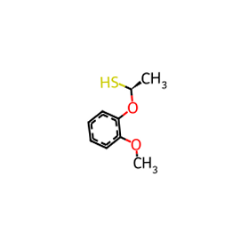 COc1ccccc1O[C@H](C)S